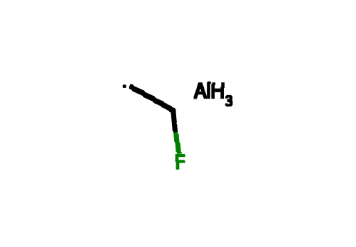 [AlH3].[CH2]CF